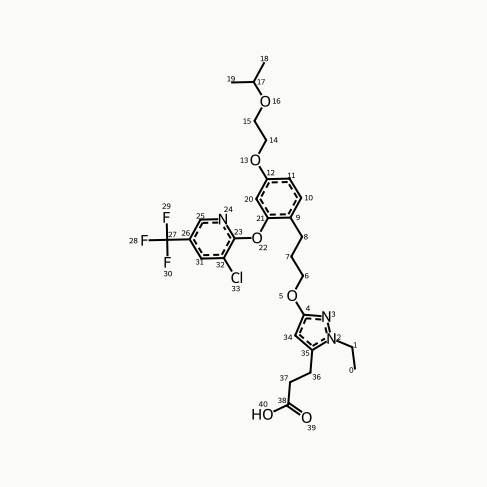 CCn1nc(OCCCc2ccc(OCCOC(C)C)cc2Oc2ncc(C(F)(F)F)cc2Cl)cc1CCC(=O)O